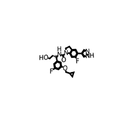 O=C(N[C@H](CCO)c1cc(F)cc(OCC2CC2)c1)N1CCc2cc(-c3cn[nH]c3)c(F)cc21